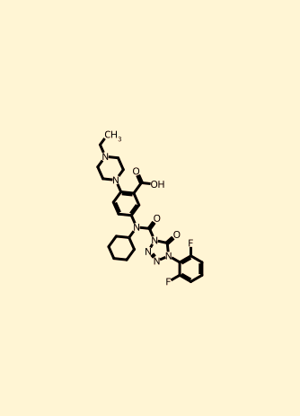 CCN1CCN(c2ccc(N(C(=O)n3nnn(-c4c(F)cccc4F)c3=O)C3CCCCC3)cc2C(=O)O)CC1